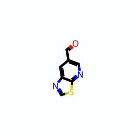 O=Cc1cnc2scnc2c1